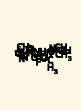 Cc1cc(F)c(C(=O)Nc2cccc(-c3nnc4n3[C@@H](C)CC4)n2)cc1-n1cnc(C(C)(C)O)c1